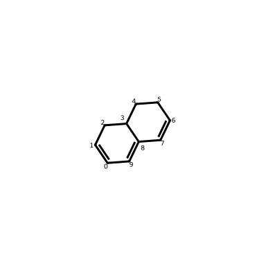 C1=CCC2CCC=CC2=C1